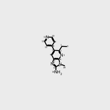 CCc1nc2c(cc1-c1ccncc1)nc(N)n2C